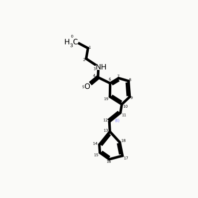 CCCNC(=O)c1cccc(/C=C/c2ccccc2)c1